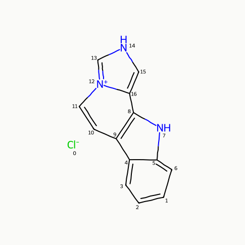 [Cl-].c1ccc2c(c1)[nH]c1c2cc[n+]2c[nH]cc12